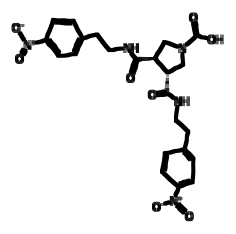 O=C(NCCc1ccc([N+](=O)[O-])cc1)[C@H]1CN(C(=O)O)C[C@@H]1C(=O)NCCc1ccc([N+](=O)[O-])cc1